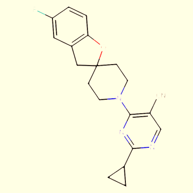 N#Cc1cnc(C2CC2)nc1N1CCC2(CC1)Cc1cc(F)ccc1O2